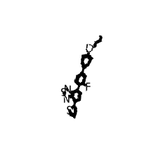 CCCCOc1ccc(-c2ccc(-c3ccc(-c4cccs4)c4nsnc34)c(F)c2)cc1